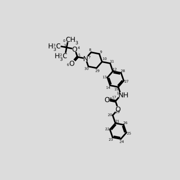 CC(C)(C)OC(=O)N1CCC(Cc2ccc(NC(=O)OCc3ccccc3)cc2)CC1